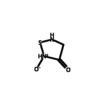 O=C1CNS[NH+]1[O-]